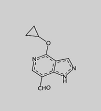 O=Cc1cnc(OC2CC2)c2cn[nH]c12